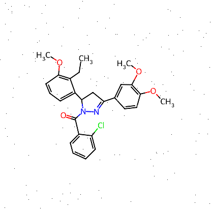 CCc1c(OC)cccc1C1CC(c2ccc(OC)c(OC)c2)=NN1C(=O)c1ccccc1Cl